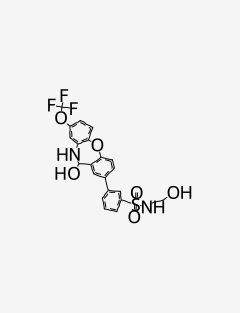 O=S(=O)(NCCO)c1cccc(-c2ccc3c(c2)C(O)Nc2cc(OC(F)(F)F)ccc2O3)c1